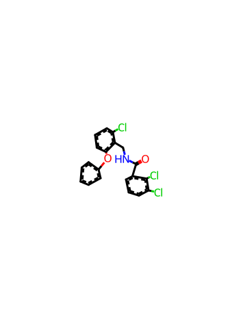 O=C(NCc1c(Cl)cccc1Oc1ccccc1)c1cccc(Cl)c1Cl